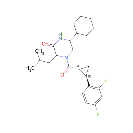 CC(C)CC1C(=O)NC(C2CCCCC2)CN1C(=O)[C@@H]1C[C@H]1c1ccc(F)cc1F